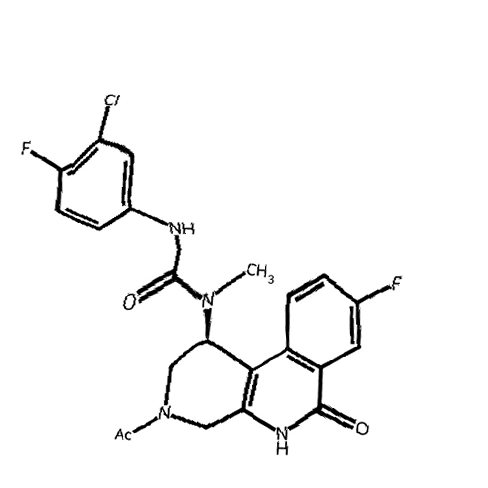 CC(=O)N1Cc2[nH]c(=O)c3cc(F)ccc3c2[C@H](N(C)C(=O)Nc2ccc(F)c(Cl)c2)C1